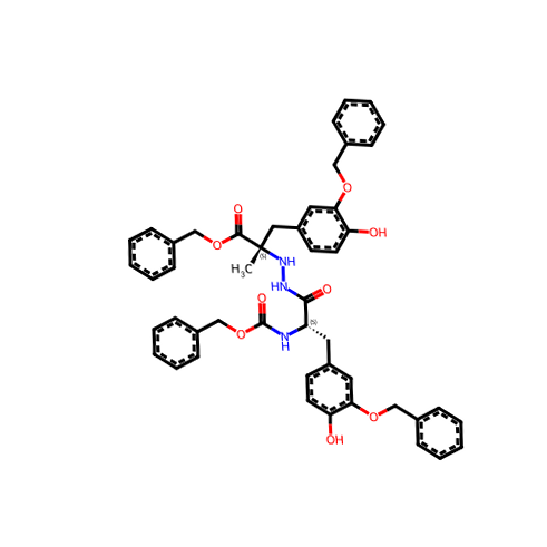 C[C@@](Cc1ccc(O)c(OCc2ccccc2)c1)(NNC(=O)[C@H](Cc1ccc(O)c(OCc2ccccc2)c1)NC(=O)OCc1ccccc1)C(=O)OCc1ccccc1